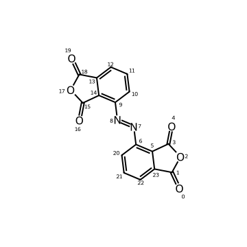 O=C1OC(=O)c2c(N=Nc3cccc4c3C(=O)OC4=O)cccc21